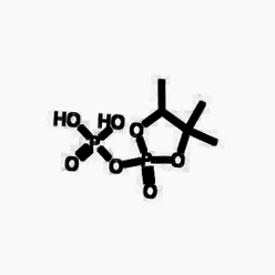 CC1OP(=O)(OP(=O)(O)O)OC1(C)C